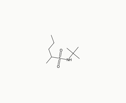 CCCC(C)S(=O)(=O)NC(C)(C)C